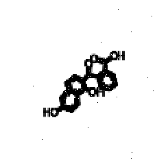 O=C(O)c1ccccc1C(=O)c1ccc2cc(O)ccc2c1O